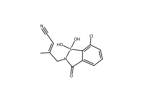 CC(=CC#N)CN1C(=O)c2cccc(Cl)c2S1(O)O